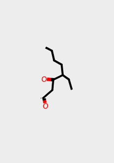 CCCCC(CC)C(=O)C[C]=O